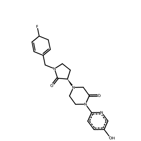 O=C1[C@H](N2CCN(c3ccc(O)cn3)C(=O)C2)CCN1CC1=CCC(F)C=C1